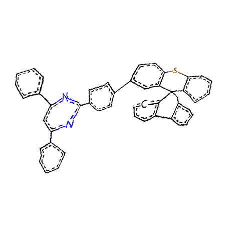 c1ccc(-c2cc(-c3ccccc3)nc(-c3ccc(-c4ccc5c(c4)C4(c6ccccc6S5)c5ccccc5-c5ccccc54)cc3)n2)cc1